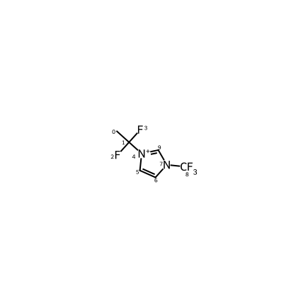 CC(F)(F)[n+]1ccn(C(F)(F)F)c1